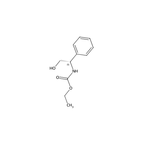 CCOC(=O)N[C@H](CO)c1ccccc1